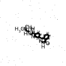 CN(C)CC(=O)Nc1nc2cc(-c3n[nH]c(=O)c4ccccc34)ccc2[nH]1